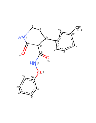 O=C1NCCC(c2cccc(C(F)(F)F)c2)C1C(=O)NOc1ccccc1